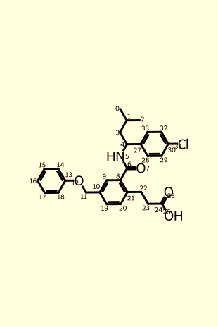 CC(C)CC(NC(=O)c1cc(COc2ccccc2)ccc1CCC(=O)O)c1ccc(Cl)cc1